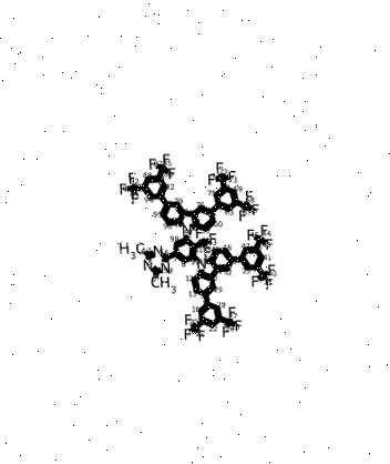 Cc1nc(C)nc(-c2cc(-n3c4ccc(-c5cc(C(F)(F)F)cc(C(F)(F)F)c5)cc4c4cc(-c5cc(C(F)(F)F)cc(C(F)(F)F)c5)ccc43)c(C(F)(F)F)c(-n3c4ccc(-c5cc(C(F)(F)F)cc(C(F)(F)F)c5)cc4c4cc(-c5cc(C(F)(F)F)cc(C(F)(F)F)c5)ccc43)c2)n1